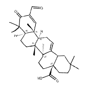 CC1(C)CC[C@]2(C(=O)O)CC[C@]3(C)C(=CC[C@@H]4[C@@]5(C)C=C(C=O)C(=O)C(C)(C)[C@@H]5CC[C@]43C)C2C1